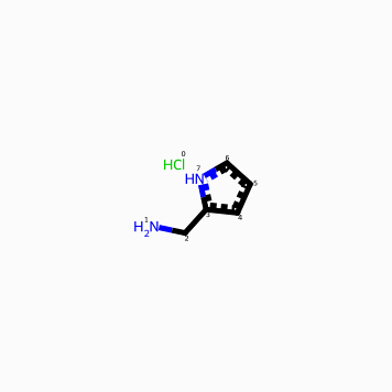 Cl.NCc1ccc[nH]1